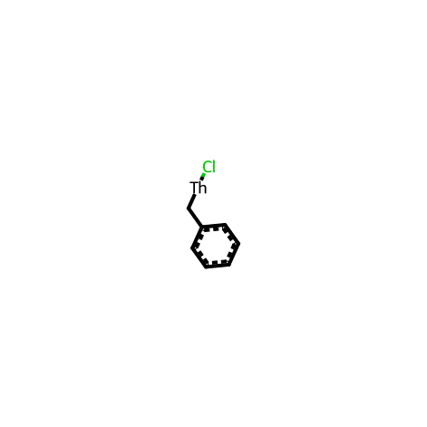 [Cl][Th][CH2]c1ccccc1